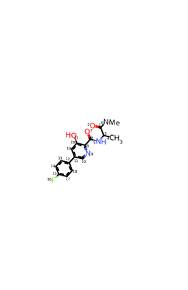 CNC(=O)C(C)NC(=O)c1ncc(-c2ccc(F)cc2)cc1O